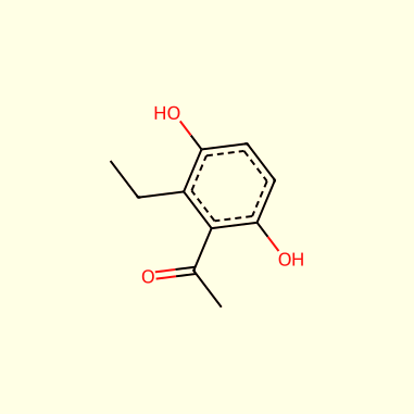 CCc1c(O)ccc(O)c1C(C)=O